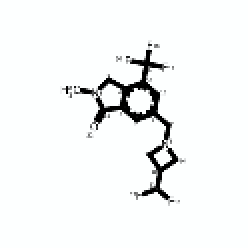 CN1Cc2c(cc(CN3CC(C(F)F)C3)cc2C(F)(F)F)C1=O